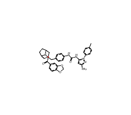 Cc1ccc(-n2nc(C(C)(C)C)cc2NC(=O)Nc2ccc(CC3CC4CCC(C3)N4CC(=O)c3ccc4c(c3)OCO4)cc2)cc1